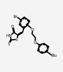 CCC(C)c1ccc(OCCOc2ccc(Br)cc2C=C2SC(=S)NC2=O)cc1